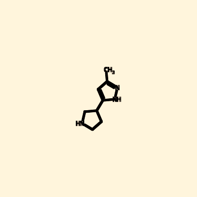 Cc1cc(C2CCNC2)[nH]n1